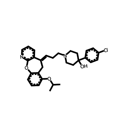 CC(C)Oc1cccc2c1CC(=CCCN1CCC(O)(c3ccc(Cl)cc3)CC1)c1cccnc1O2